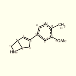 COc1cc(C2=CC3CNC3C2)cnc1C